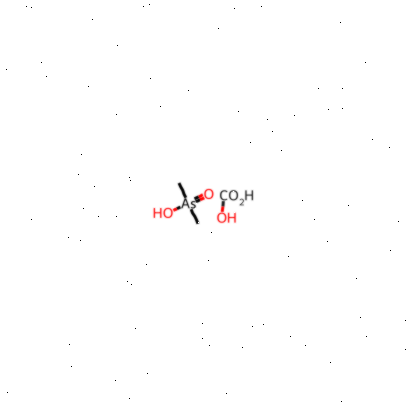 C[As](C)(=O)O.O=C(O)O